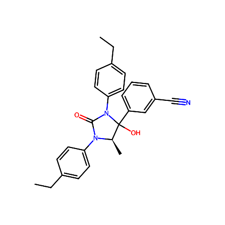 CCc1ccc(N2C(=O)N(c3ccc(CC)cc3)C(O)(c3cccc(C#N)c3)[C@H]2C)cc1